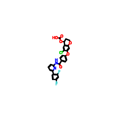 O=C(O)OC1CCOc2cc(Oc3ccc(C(=O)Nc4cccc(-c5ccc(F)cc5F)n4)cc3)c(Cl)cc21